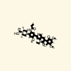 C=CC(=O)Nc1cc(-c2cc3c(cn2)cc(-c2c(Cl)c(OC)cc(OC)c2Cl)c(=O)n3CC)c(OC)cc1N1C[C@@H](C)N(C(=O)O)[C@@H](C)C1